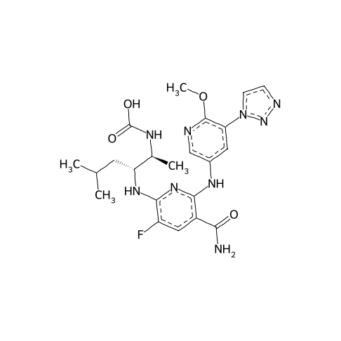 COc1ncc(Nc2nc(N[C@H](CC(C)C)[C@H](C)NC(=O)O)c(F)cc2C(N)=O)cc1-n1ccnn1